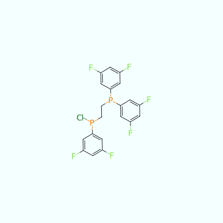 Fc1cc(F)cc(P(Cl)CCP(c2cc(F)cc(F)c2)c2cc(F)cc(F)c2)c1